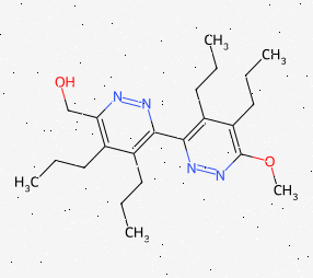 CCCc1c(CO)nnc(-c2nnc(OC)c(CCC)c2CCC)c1CCC